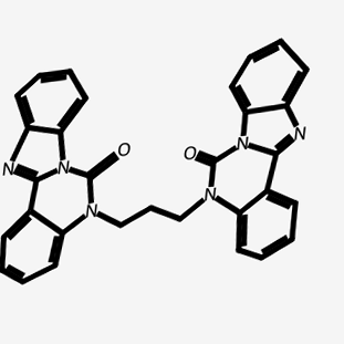 O=c1n(CCCn2c(=O)n3c4ccccc4nc3c3ccccc32)c2ccccc2c2nc3ccccc3n12